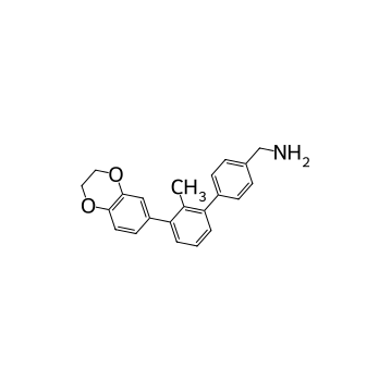 Cc1c(-c2ccc(CN)cc2)cccc1-c1ccc2c(c1)OCCO2